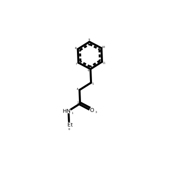 CCNC(=O)C[CH]c1ccccc1